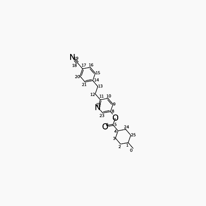 CC1CCC(C(=O)Oc2ccc(CCc3ccc(C#N)cc3)nc2)CC1